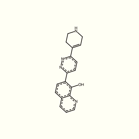 Oc1c(-c2ccc(C3=CCNCC3)nn2)ccc2cccnc12